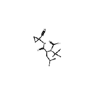 CC(C)C[C@@H](C(=O)NC1(C#N)CC1)N(C(=O)O)C(C)(C)C